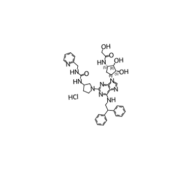 Cl.O=C(CO)N[C@H]1C[C@@H](n2cnc3c(NCC(c4ccccc4)c4ccccc4)nc(N4CCC(NC(=O)NCc5ccccn5)C4)nc32)[C@H](O)[C@@H]1O